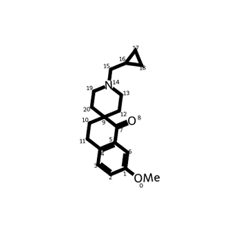 COc1ccc2c(c1)C(=O)C1(CC2)CCN(CC2CC2)CC1